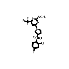 CSc1nc(N2CCC(S(=O)(=O)c3ccc(F)cc3Cl)C2)cc(C(F)(F)F)n1